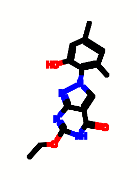 CCOc1nc2nn(-c3c(C)cc(C)cc3O)cc2c(=O)[nH]1